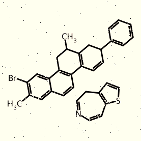 C1=Cc2sccc2CC=N1.Cc1cc2ccc3c(c2cc1Br)CC(C)C1=C3C=CC(c2ccccc2)C1